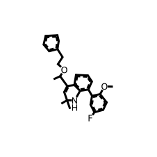 COc1ccc(F)cc1-c1cccc2c1NC(C)(C)C=C2C(C)OCCc1ccccc1